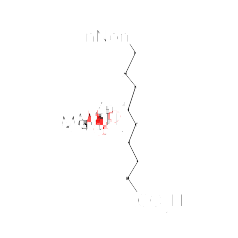 CCCCCCCCCCCCCCCCCC(=O)O.O.[MgH2].[MgH2].[O]=[Zn]